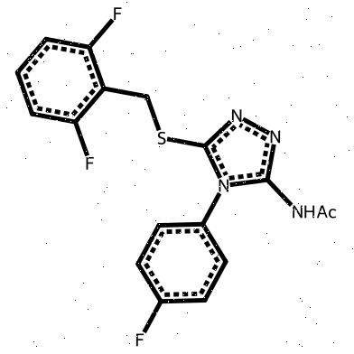 CC(=O)Nc1nnc(SCc2c(F)cccc2F)n1-c1ccc(F)cc1